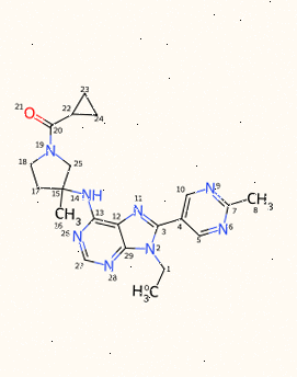 CCn1c(-c2cnc(C)nc2)nc2c(NC3(C)CCN(C(=O)C4CC4)C3)ncnc21